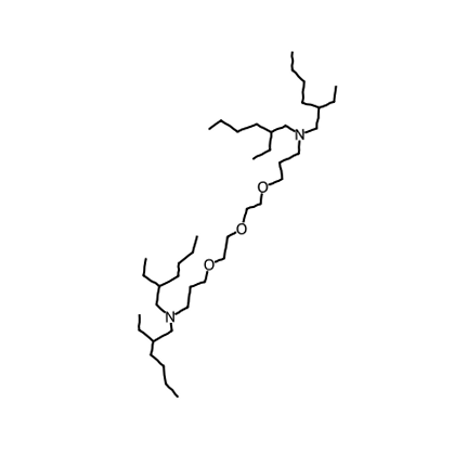 CCCCC(CC)CN(CCCOCCOCCOCCCN(CC(CC)CCCC)CC(CC)CCCC)CC(CC)CCCC